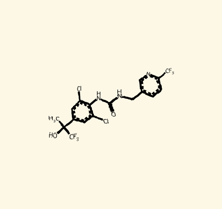 CC(O)(c1cc(Cl)c(NC(=O)NCc2ccc(C(F)(F)F)nc2)c(Cl)c1)C(F)(F)F